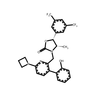 C[C@H]1[C@@H](c2cc(C(F)(F)F)cc(C(F)(F)F)c2)OC(=O)N1Cc1nc(N2CCC2)ccc1-c1ccccc1O